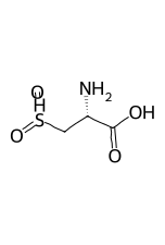 N[C@@H](C[SH](=O)=O)C(=O)O